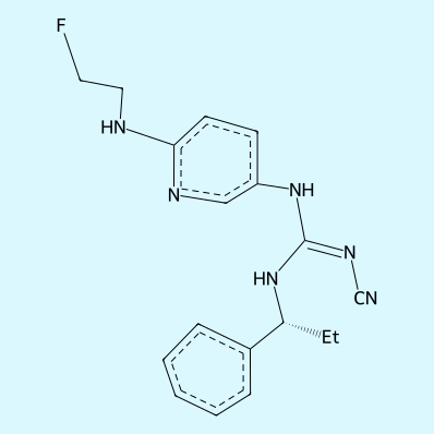 CC[C@@H](N/C(=N\C#N)Nc1ccc(NCCF)nc1)c1ccccc1